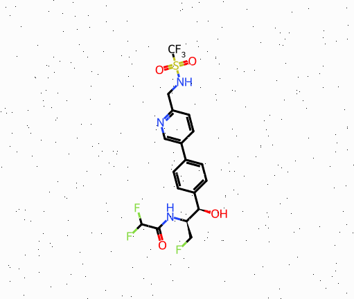 O=C(N[C@H](CF)[C@H](O)c1ccc(-c2ccc(CNS(=O)(=O)C(F)(F)F)nc2)cc1)C(F)F